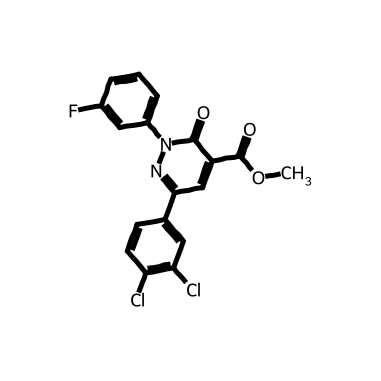 COC(=O)c1cc(-c2ccc(Cl)c(Cl)c2)nn(-c2cccc(F)c2)c1=O